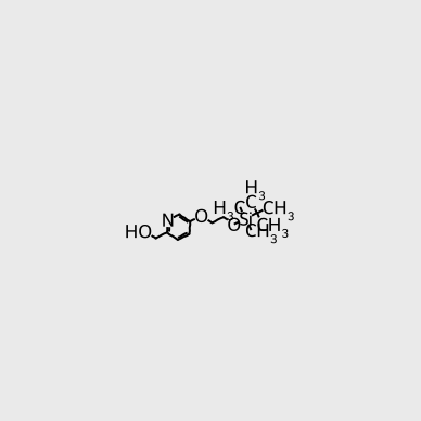 CC(C)(C)[Si](C)(C)OCCOc1ccc(CO)nc1